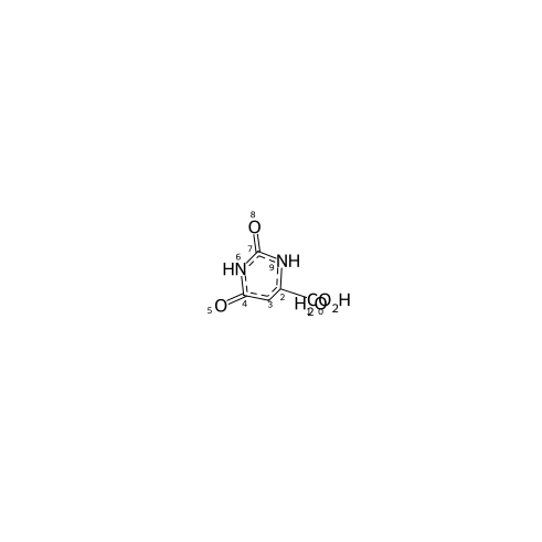 O.O=C(O)c1cc(=O)[nH]c(=O)[nH]1